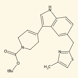 Cc1csc(Cc2ccc3[nH]cc(C4=CCN(C(=O)OC(C)(C)C)CC4)c3c2)n1